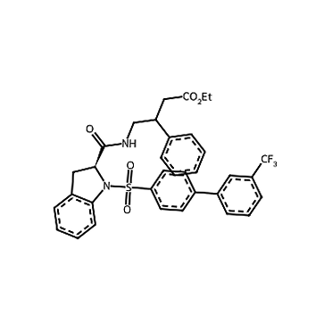 CCOC(=O)CC(CNC(=O)[C@@H]1Cc2ccccc2N1S(=O)(=O)c1ccc(-c2cccc(C(F)(F)F)c2)cc1)c1ccccc1